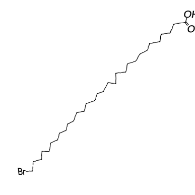 O=C(O)CCCCCCCCCCCCCCCCCCCCCCCCCCCCCCBr